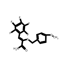 COc1ccc(CSC(=Cc2c(F)c(F)c(F)c(F)c2F)C(N)=O)cc1